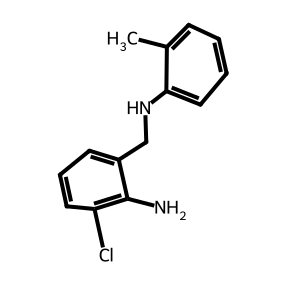 Cc1ccccc1NCc1cccc(Cl)c1N